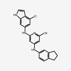 N#Cc1cc(Nc2ccc3c(c2)CCC3)cc(Nc2cc(Cl)c3cc[nH]c3c2)n1